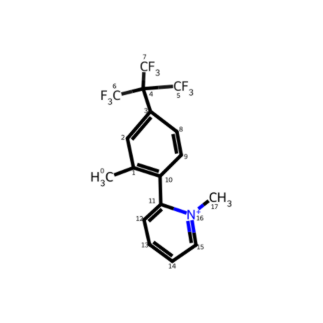 Cc1cc(C(C(F)(F)F)(C(F)(F)F)C(F)(F)F)ccc1-c1cccc[n+]1C